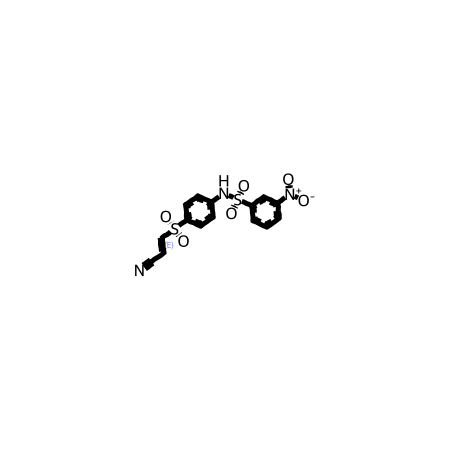 N#C/C=C/S(=O)(=O)c1ccc(NS(=O)(=O)c2cccc([N+](=O)[O-])c2)cc1